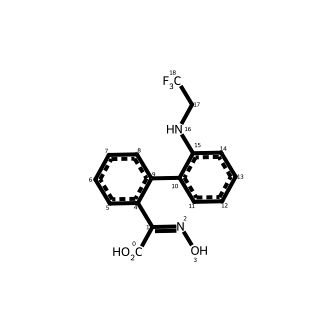 O=C(O)C(=NO)c1ccccc1-c1ccccc1NCC(F)(F)F